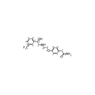 NC(=O)Cc1ccc(OCCNCC(O)c2cccc(C(F)(F)F)c2)cc1